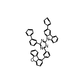 c1ccc(-c2cccc(-c3nc(-c4cccc(-c5cccc6oc7ccccc7c56)c4)nc(-n4c5ccccc5c5cc(-c6ccccc6)ccc54)n3)c2)cc1